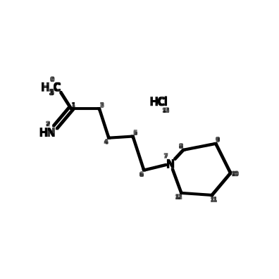 CC(=N)CCCCN1CCCCC1.Cl